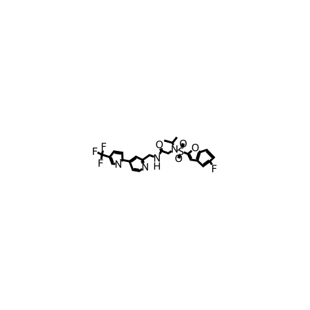 CC(C)N(CC(=O)NCc1cc(-c2ccc(C(F)(F)F)cn2)ccn1)S(=O)(=O)c1cc2cc(F)ccc2o1